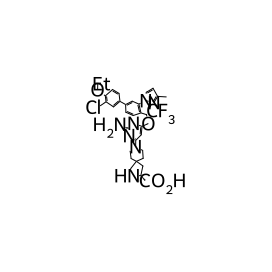 CCOc1ccc(-c2ccc([C@@H](Oc3cc(N4CCC5(CC4)CN[C@H](C(=O)O)C5)nc(N)n3)C(F)(F)F)c(-n3ccc(C)n3)c2)cc1Cl